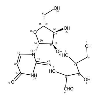 O=CC(O)C(O)C(O)CO.O=c1ccn([C@@H]2O[C@H](CO)[C@@H](O)[C@H]2O)c(=S)[nH]1